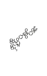 COc1cc2nccc(Oc3ccc(N4CC(=O)N(c5cccc(OC(F)(F)F)c5)C4=O)cc3)c2cc1OC